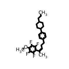 CCCC1CCC(c2ccc(CCC=C(C)c3c(F)c(F)c(OC)c(F)c3F)cc2)CC1